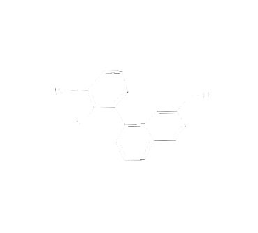 COc1cccc(-c2cccc3ccc(C(=O)O)cc23)c1C#N